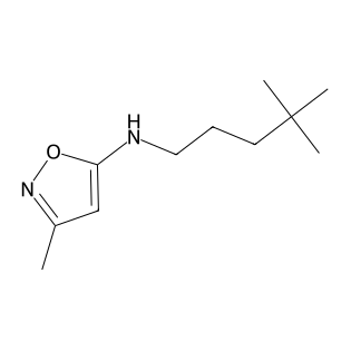 Cc1cc(NCCCC(C)(C)C)on1